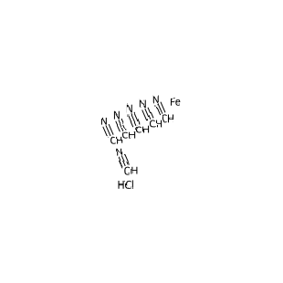 C#N.C#N.C#N.C#N.C#N.C#N.Cl.[Fe]